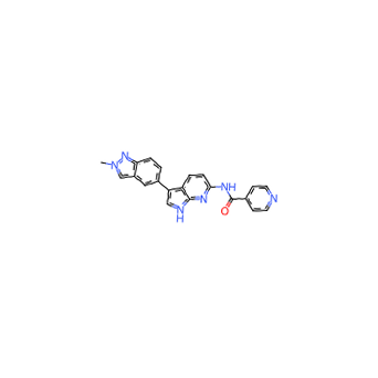 Cn1cc2cc(-c3c[nH]c4nc(NC(=O)c5ccncc5)ccc34)ccc2n1